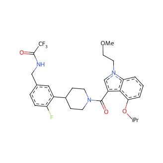 COCCn1cc(C(=O)N2CCC(c3cc(CNC(=O)C(F)(F)F)ccc3F)CC2)c2c(OC(C)C)cccc21